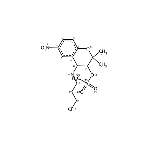 CC1(C)Oc2ccc([N+](=O)[O-])cc2C(NCCCCl)C1OS(C)(=O)=O